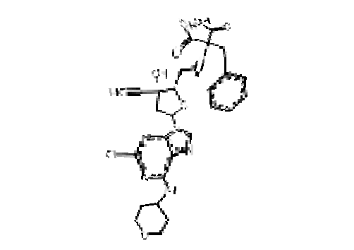 C#C[C@]1(O)C[C@H](n2cnc3c(NC4CCOCC4)nc(Cl)nc32)O[C@@H]1COC(Cc1ccccc1)(C(=O)O)C(=O)O